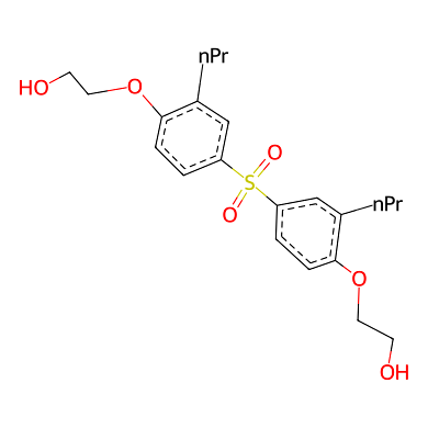 CCCc1cc(S(=O)(=O)c2ccc(OCCO)c(CCC)c2)ccc1OCCO